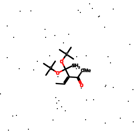 CC=C(C(=O)OC)C([SiH3])(O[Si](C)(C)C)O[Si](C)(C)C